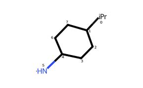 CC(C)C1CCC([NH])CC1